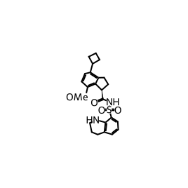 COc1ccc(C2CCC2)c2c1[C@H](C(=O)NS(=O)(=O)c1cccc3c1NCCC3)CC2